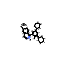 Cc1c(-c2c3ccc(CC(C)(C)C)cc3cc[n+]2C)cc(C2CCCCC2)cc1C1CCCCC1